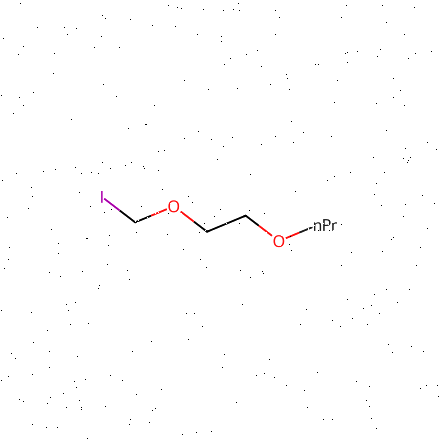 CCCOCCOCI